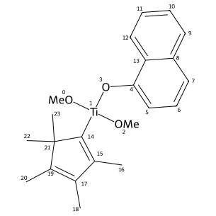 C[O][Ti]([O]C)([O]c1cccc2ccccc12)[C]1=C(C)C(C)=C(C)C1(C)C